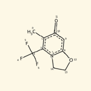 Cc1c(C(F)(F)F)n2c(cc1=O)OCC2